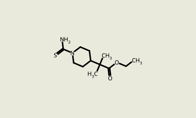 CCOC(=O)C(C)(C)C1CCN(C(N)=S)CC1